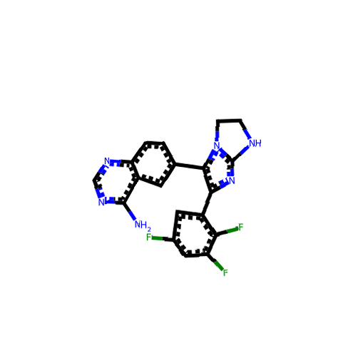 Nc1ncnc2ccc(-c3c(-c4cc(F)cc(F)c4F)nc4n3CCN4)cc12